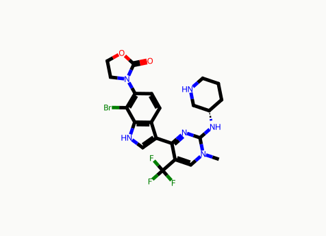 CN1C=C(C(F)(F)F)C(c2c[nH]c3c(Br)c(N4CCOC4=O)ccc23)=NC1N[C@H]1CCCNC1